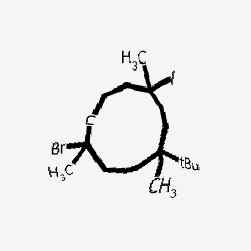 CC1(Br)CCCC(C)(I)CCC(C)(C(C)(C)C)CC1